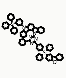 c1ccc(-c2nc(-c3ccc([Si](c4ccccc4)(c4ccccc4)c4ccc5oc6ccccc6c5c4)cc3)nc(-n3c4ccccc4c4ccc5c(c6ccccc6n5-c5cccc([Si](c6ccccc6)(c6ccccc6)c6ccccc6)c5)c43)n2)cc1